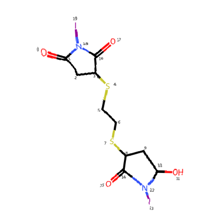 O=C1CC(SCCSC2CC(O)N(I)C2=O)C(=O)N1I